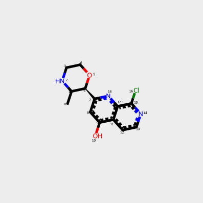 CC1NCCO[C@H]1c1cc(O)c2ccnc(Cl)c2n1